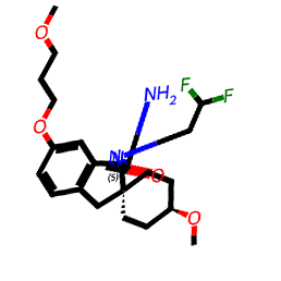 COCCCOc1ccc2c(c1)[C@@]1(N=C(N)N(CC(F)F)C1=O)[C@]1(CC[C@H](OC)CC1)C2